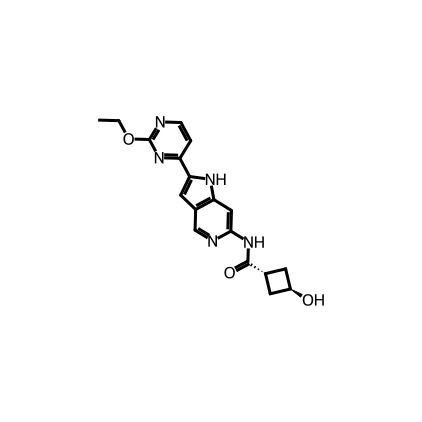 CCOc1nccc(-c2cc3cnc(NC(=O)[C@H]4C[C@H](O)C4)cc3[nH]2)n1